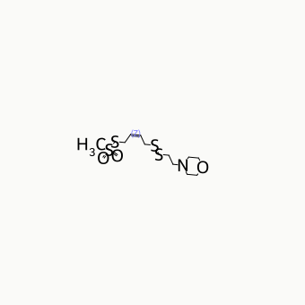 CS(=O)(=O)SC/C=C\CSSCCN1CCOCC1